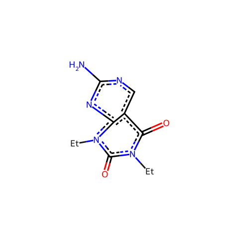 CCn1c(=O)c2cnc(N)nc2n(CC)c1=O